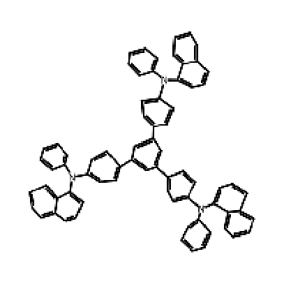 c1ccc(N(c2ccc(-c3cc(-c4ccc(N(c5ccccc5)c5cccc6ccccc56)cc4)cc(-c4ccc(N(c5ccccc5)c5cccc6ccccc56)cc4)c3)cc2)c2cccc3ccccc23)cc1